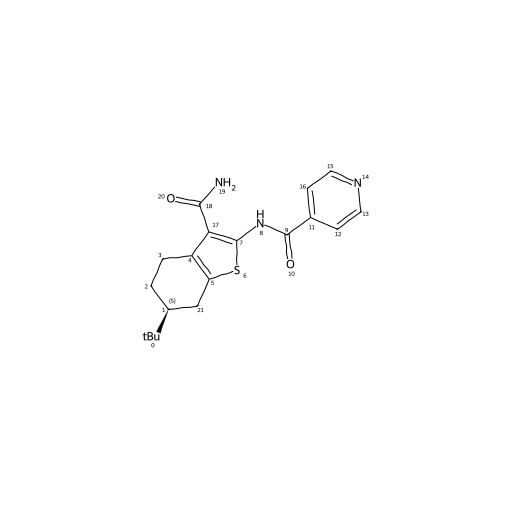 CC(C)(C)[C@H]1CCc2c(sc(NC(=O)c3ccncc3)c2C(N)=O)C1